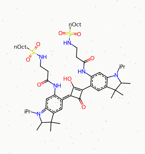 CCCCCCCCS(=O)(=O)NCCC(=O)Nc1cc2c(cc1C1=C(O)/C(=c3/cc4c(cc3NC(=O)CCNS(=O)(=O)CCCCCCCC)=[N+](C(C)C)C(C)C4(C)C)C1=O)C(C)(C)C(C)N2C(C)C